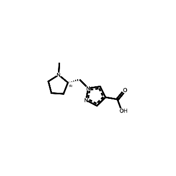 CN1CCC[C@H]1Cn1cc(C(=O)O)cn1